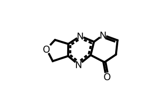 O=C1CC=Nc2nc3c(nc21)COC3